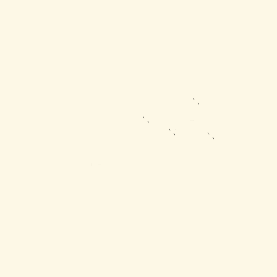 CC1CN(C(=N)N)N=C1c1cccc(F)c1O